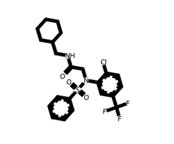 O=C(CN(c1cc(C(F)(F)F)ccc1Cl)S(=O)(=O)c1ccccc1)NCC1CCCCC1